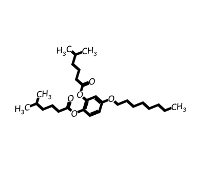 CCCCCCCCOc1ccc(OC(=O)CCCC(C)C)c(OC(=O)CCCC(C)C)c1